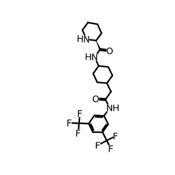 O=C(CC1CCC(NC(=O)[C@@H]2CCCCN2)CC1)Nc1cc(C(F)(F)F)cc(C(F)(F)F)c1